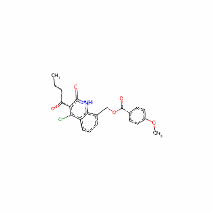 CCCC(=O)c1c(Cl)c2cccc(COC(=O)c3ccc(OC)cc3)c2[nH]c1=O